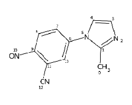 Cc1nccn1-c1ccc(N=O)c(C#N)c1